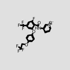 O=C(Nc1ccc[n+]([O-])c1)c1c(F)cc(C(F)(F)F)cc1Oc1ccc(OCC(F)(F)F)cc1